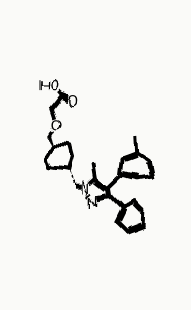 Cc1cccc(-c2c(-c3ccccc3)nn(C[C@H]3CC[C@H](COCC(=O)O)CC3)c2C)c1